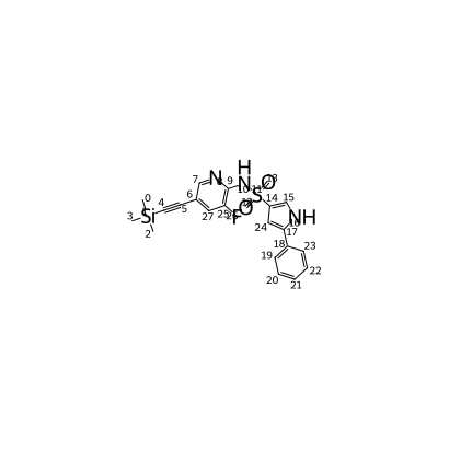 C[Si](C)(C)C#Cc1cnc(NS(=O)(=O)c2c[nH]c(-c3ccccc3)c2)c(F)c1